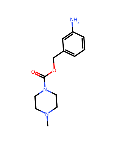 CN1CCN(C(=O)OCc2cccc(N)c2)CC1